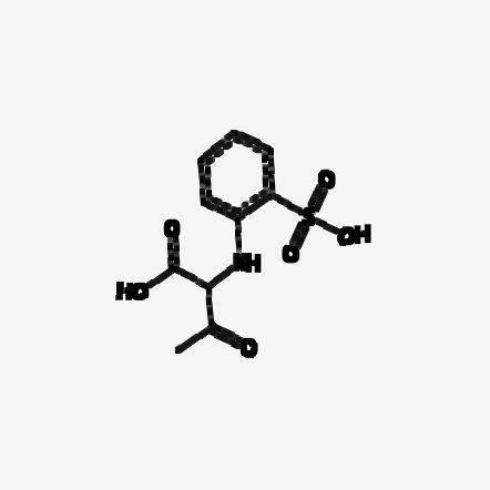 CC(=O)C(Nc1ccccc1S(=O)(=O)O)C(=O)O